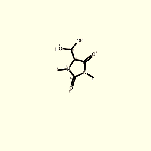 CN1C(=O)C(C(O)O)N(C)C1=O